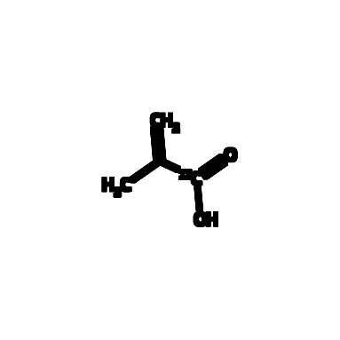 C=C(C)[13C](=O)O